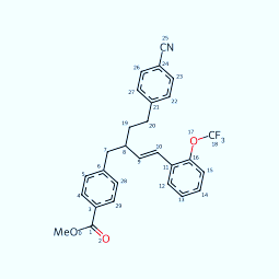 COC(=O)c1ccc(CC(/C=C/c2ccccc2OC(F)(F)F)CCc2ccc(C#N)cc2)cc1